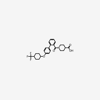 O=C(O)C1CCN(C(=O)c2ccccc2-c2ccc(OC3CCC(C(F)(F)F)CC3)cc2)CC1